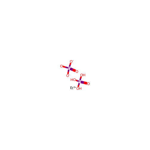 O=P(O)(O)O.O=P([O-])([O-])[O-].[Er+3]